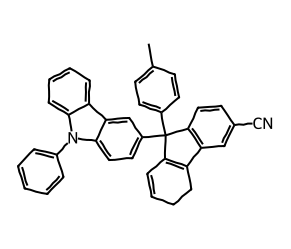 Cc1ccc(C2(c3ccc4c(c3)c3ccccc3n4-c3ccccc3)C3=C(CCC=C3)c3cc(C#N)ccc32)cc1